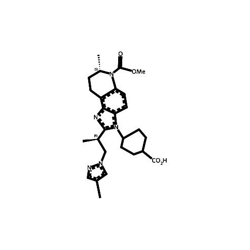 COC(=O)N1c2ccc3c(nc([C@H](C)Cn4cc(C)cn4)n3C3CCC(C(=O)O)CC3)c2CC[C@@H]1C